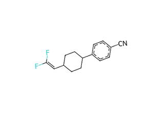 N#Cc1ccc(C2CCC(C=C(F)F)CC2)cc1